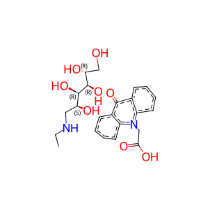 CCNC[C@H](O)[C@@H](O)[C@H](O)[C@H](O)CO.O=C(O)Cn1c2ccccc2c(=O)c2ccccc21